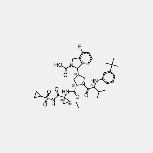 CC[C@@H]1C[C@]1(NC(=O)[C@@H]1C[C@@H](C2c3cccc(F)c3CN2C(=O)O)CN1C(=O)[C@@H](Nc1cccc(C(C)(C)C)c1)C(C)C)C(=O)NS(=O)(=O)C1CC1